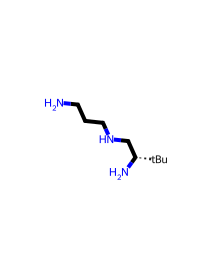 CC(C)(C)[C@H](N)CNCCCN